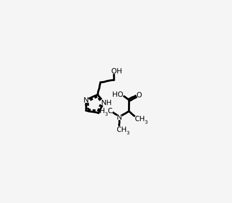 CC(C(=O)O)N(C)C.OCCc1ncc[nH]1